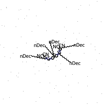 CCCCCCCCCCCCCCCCCCCCc1c/c(=c2\cc/c(=c3\ccc4c(c3)[Si](CCCCCCCCCCCCCCCCCCCC)(CCCCCCCCCCCCCCCCCCCC)c3c/c(=c5\s/c(=c6/cc(CCCCCCCCCCCCCCCCCCCC)c(=C(C#N)C#N)s6)cc5CCCCCCCCCCCCCCCCCCCC)ccc3=4)s2)sc1=C(C#N)C#N